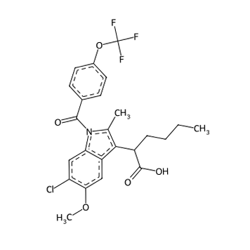 CCCCC(C(=O)O)c1c(C)n(C(=O)c2ccc(OC(F)(F)F)cc2)c2cc(Cl)c(OC)cc12